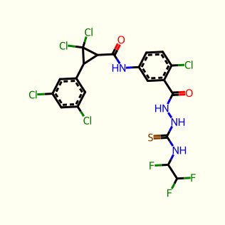 O=C(NNC(=S)NC(F)C(F)F)c1cc(NC(=O)C2C(c3cc(Cl)cc(Cl)c3)C2(Cl)Cl)ccc1Cl